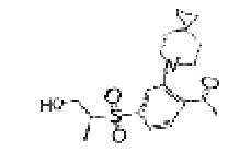 CC(=O)c1ccc(S(=O)(=O)[C@@H](C)CO)cc1N1CCC2(CC1)CC2